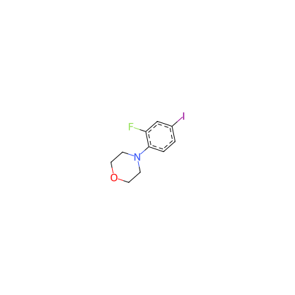 Fc1cc(I)ccc1N1CCOCC1